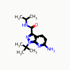 CC(C)NC(=O)c1nn(C(C)(C)C)c2nc(N)ccc12